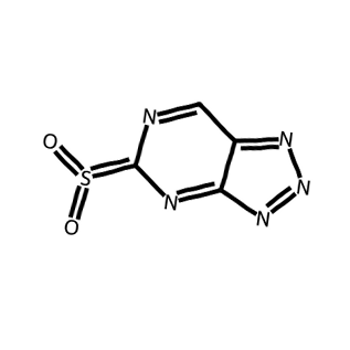 O=S(=O)=C1N=CC2=NN=NC2=N1